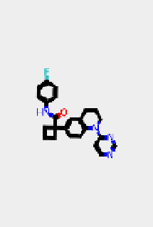 O=C(Nc1ccc(F)cc1)C1(c2ccc3c(c2)CCCN3c2ccncn2)CCC1